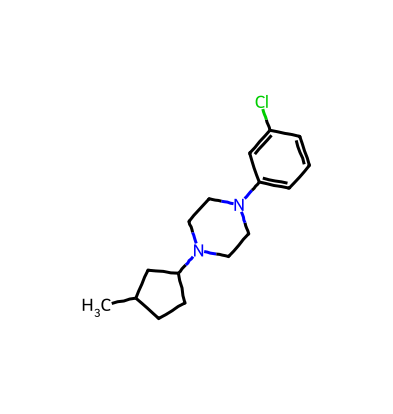 CC1CCC(N2CCN(c3cccc(Cl)c3)CC2)C1